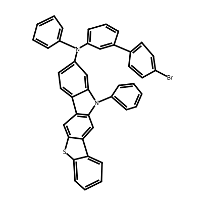 Brc1ccc(-c2cccc(N(c3ccccc3)c3ccc4c5cc6sc7ccccc7c6cc5n(-c5ccccc5)c4c3)c2)cc1